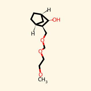 COCCOCOC[C@H]1[C@H]2CC[C@H](C2)[C@@H]1O